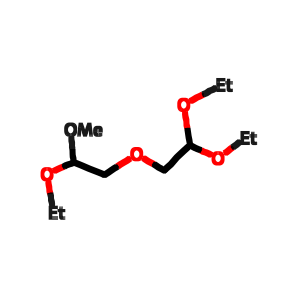 CCOC(COCC(OCC)OCC)OC